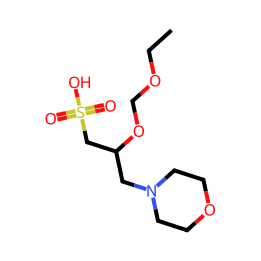 CCOCOC(CN1CCOCC1)CS(=O)(=O)O